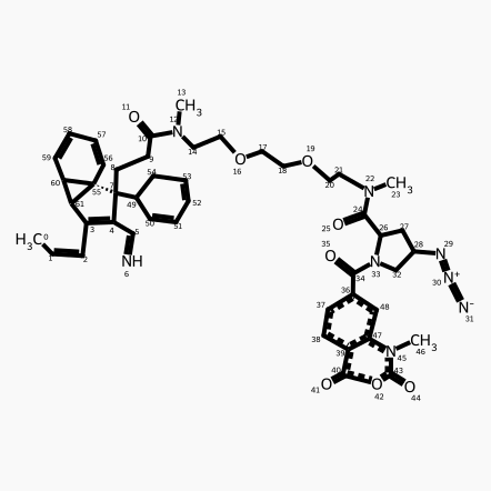 C/C=C\C1=C(C=N)C(CCC(=O)N(C)CCOCCOCCN(C)C(=O)C2CC(N=[N+]=[N-])CN2C(=O)c2ccc3c(=O)oc(=O)n(C)c3c2)(C2C=CC=CC2)[C@@]23C=CC=CC2C13